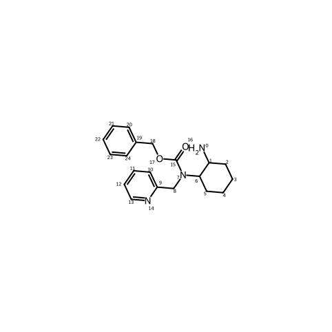 NC1CCCCC1N(Cc1ccccn1)C(=O)OCc1ccccc1